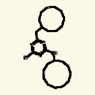 Clc1nc(CC2CCCCCCCCC2)nc(NC2CCCCCCCCCC2)n1